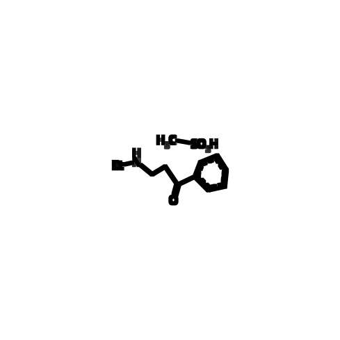 CCNCCC(=O)c1ccccc1.CS(=O)(=O)O